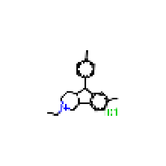 CCN1CCC2C(C1)c1ccc(C)cc1C2c1ccc(C)cc1.Cl